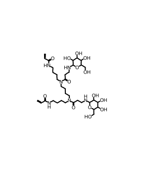 C=CC(=O)NCCCCN(CCCCN(CCCCNC(=O)C=C)C(=O)CCNC1OC(CO)C(O)C(O)C1O)C(=O)CCNC1OC(CO)C(O)C(O)C1O